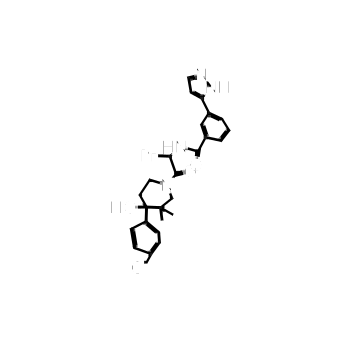 CC(C)C(NC(=O)c1cccc(-c2ccn[nH]2)c1)C(=O)N1CCC(O)(c2ccc(Cl)cc2)C(C)(C)C1